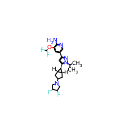 CC(C)n1nc(-c2cnc(N)c(OC(F)F)c2)cc1[C@H]1[C@@H]2CC(N3C[C@@H](F)[C@@H](F)C3)C[C@@H]21